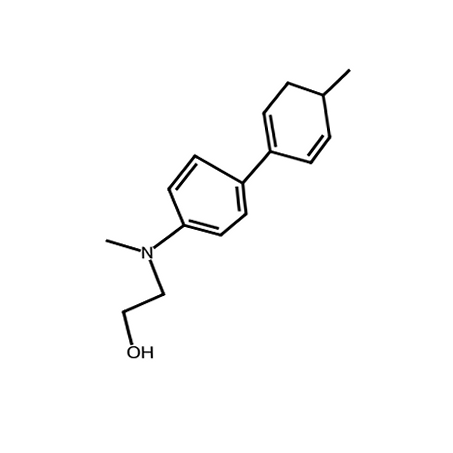 CC1C=CC(c2ccc(N(C)CCO)cc2)=CC1